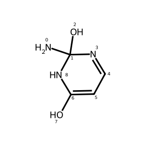 NC1(O)N=CC=C(O)N1